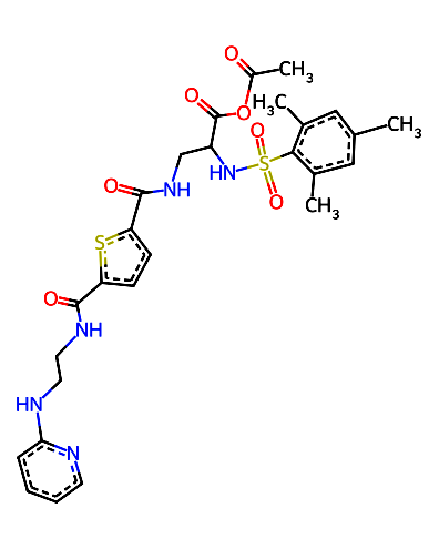 CC(=O)OC(=O)C(CNC(=O)c1ccc(C(=O)NCCNc2ccccn2)s1)NS(=O)(=O)c1c(C)cc(C)cc1C